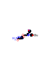 CC(C)(C)c1ccc(-n2nc(CCC(=O)Oc3ccc(CC(N)C(N)=O)cc3)cc2-c2cccnc2)cc1